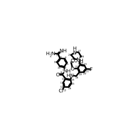 N=C(N)c1ccc(NC(=O)c2cc(Cl)ccc2NCc2cc(F)cc(N3CCNCC3)c2OCC(=O)O)cc1